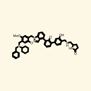 COc1cc(Cn2ncc3c(-c4cccc(-c5ccc(CNCC6CCC(=O)N6)c(O)c5)c4Cl)cccc32)c(Cl)cc1CN(Cc1ccccc1)C1CCCCC1